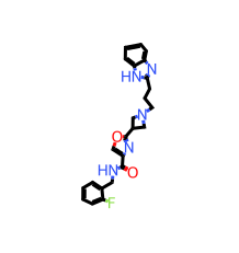 O=C(NCc1ccccc1F)c1coc(C2CN(CCCc3nc4ccccc4[nH]3)C2)n1